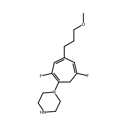 COCCCC1=CC(F)=C(N2CCNCC2)CC(F)=C1